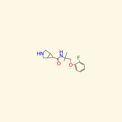 CC(C)(COc1ccccc1F)NC(=O)C1C2CNCC21